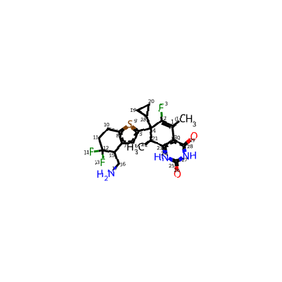 CC1=C(F)C(c2cc3c(s2)CCC(F)(F)C3CN)(C2CC2)C(C)c2[nH]c(=O)[nH]c(=O)c21